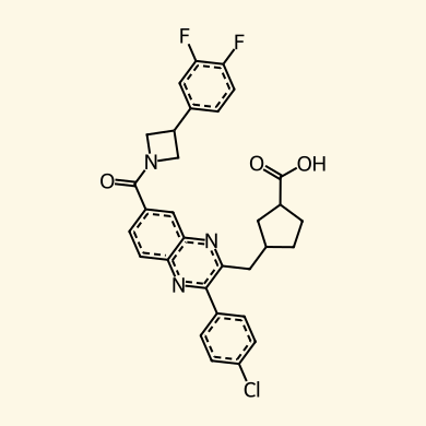 O=C(O)C1CCC(Cc2nc3cc(C(=O)N4CC(c5ccc(F)c(F)c5)C4)ccc3nc2-c2ccc(Cl)cc2)C1